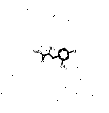 COC(=O)[C@@H](N)Cc1ccc(Cl)cc1C